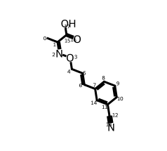 CC(=NOCC=Cc1cccc(C#N)c1)C(=O)O